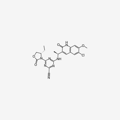 CC[C@H]1COC(=O)N1c1nc(C#N)nc(N[C@@H](C)c2cc3cc(Cl)c(OC)cc3[nH]c2=O)n1